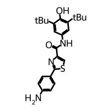 CC(C)(C)c1cc(NC(=O)c2csc(-c3ccc(N)cc3)n2)cc(C(C)(C)C)c1O